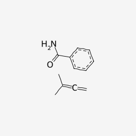 C=C=C(C)C.NC(=O)c1ccccc1